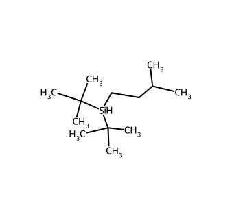 CC(C)CC[SiH](C(C)(C)C)C(C)(C)C